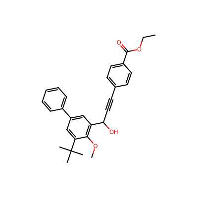 CCOC(=O)c1ccc(C#CC(O)c2cc(-c3ccccc3)cc(C(C)(C)C)c2OC)cc1